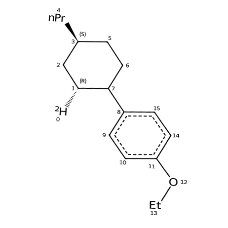 [2H][C@@H]1C[C@@H](CCC)CCC1c1ccc(OCC)cc1